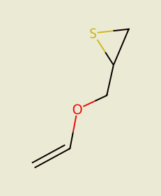 C=COCC1CS1